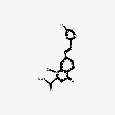 CCn1c(C(=O)OC)cc(=O)c2ccc(C=Cc3nc(C(C)C)cs3)cc21